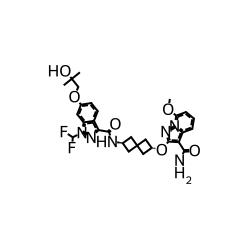 COc1cccc2c(C(N)=O)c(O[C@H]3CC4(C[C@H](NC(=O)c5nn(C(F)F)c6cc(OCC(C)(C)O)ccc56)C4)C3)nn12